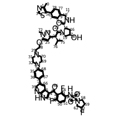 Cc1ncsc1-c1ccc([C@H](C)NC(=O)[C@@H]2C[C@@H](O)CN2C(=O)[C@H](c2cc(OCCN3CCN(c4ccc(-c5cnc6[nH]cc(C(=O)c7c(F)ccc(NS(=O)(=O)N8CC[C@@H](F)C8)c7F)c6c5)cc4)CC3)n(C)n2)C(C)C)cc1